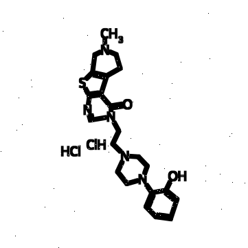 CN1CCc2c(sc3ncn(CCN4CCN(c5ccccc5O)CC4)c(=O)c23)C1.Cl.Cl